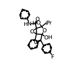 CC(C)C1(O)OC(O)(C(=O)c2ccc(F)cc2)C2(c3ccccc3)OC12C(=O)Nc1ccccc1